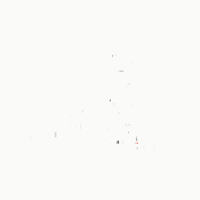 Cl.Cl.[CH2]=[Zr]([CH3])([C]1=CC(C2(C)C3CC4CC(C3)CC2C4)=CC1C)([c]1ccc(C)cc1)[c]1c2c(cc(C(C)(C)C)c1-c1ccccc1)-c1cc(C(C)(C)C)c(-c3ccccc3)cc1C2